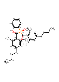 CCCCc1cc(C)c(C(=O)P(=O)(C(=O)c2c(C)cc(CCCC)cc2C)c2ccccc2)c(C)c1